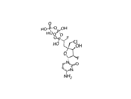 Nc1ccn([C@@H]2O[C@](CCl)(CC(F)P(=O)(O)OP(=O)(O)OP(=O)(O)O)[C@@H](O)[C@H]2F)c(=O)n1